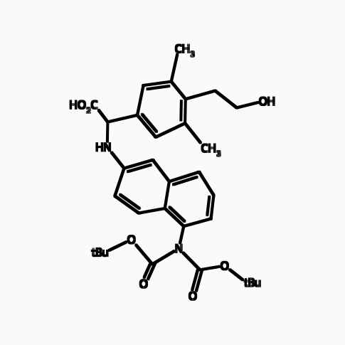 Cc1cc(C(Nc2ccc3c(N(C(=O)OC(C)(C)C)C(=O)OC(C)(C)C)cccc3c2)C(=O)O)cc(C)c1CCO